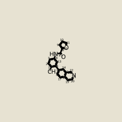 Cc1ccc(NC(=O)c2ccco2)cc1-c1ccc2ccncc2c1